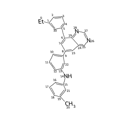 CCc1cccc(-c2cc(-c3cccc(Nc4cccc(C)c4)c3)cc3cncnc23)c1